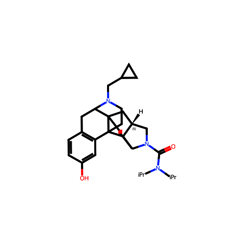 CC(C)N(C(=O)N1C[C@H]2CC34CCC1C2C31CCN(CC2CC2)C4Cc2ccc(O)cc21)C(C)C